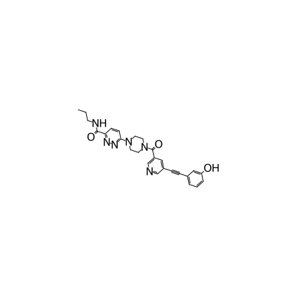 CCCNC(=O)c1ccc(N2CCN(C(=O)c3cncc(C#Cc4cccc(O)c4)c3)CC2)nn1